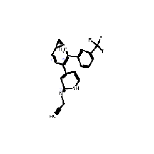 C#CC/N=c1/cc(C(/C=C\C2C=C2)=C(/C)c2cccc(C(F)(F)F)c2)cc[nH]1